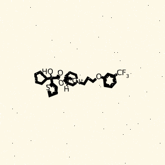 O=C(O[C@H]1C[N+]2(CCCOc3cccc(C(F)(F)F)c3)CCC1CC2)[C@](O)(c1cccs1)C1CCCC1